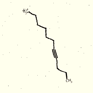 [CH2]CCCCCC#CCCC